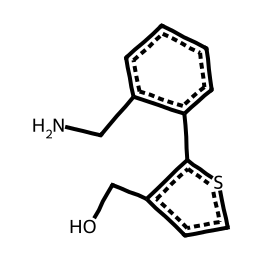 NCc1ccccc1-c1sccc1CO